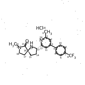 Cc1cc(-c2ccc(C(F)(F)F)cc2)cc([C@@H]2CC[C@]3(CCN(C)C3=O)N2)n1.Cl